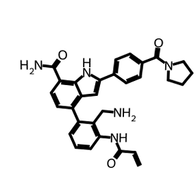 C=CC(=O)Nc1cccc(-c2ccc(C(N)=O)c3[nH]c(-c4ccc(C(=O)N5CCCC5)cc4)cc23)c1CN